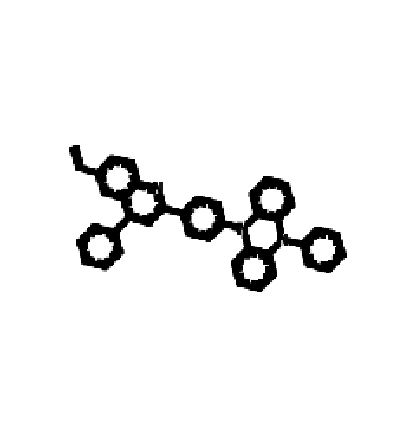 C=Cc1ccc2nc(-c3ccc(N4c5ccccc5N(c5ccccc5)c5ccccc54)cc3)cc(-c3ccccc3)c2c1